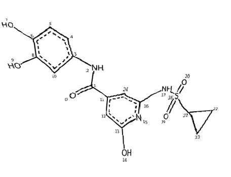 O=C(Nc1ccc(O)c(O)c1)c1cc(O)nc(NS(=O)(=O)C2CC2)c1